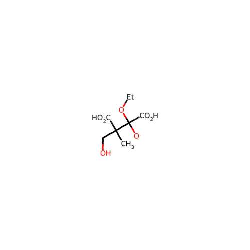 CCOC([O])(C(=O)O)C(C)(CO)C(=O)O